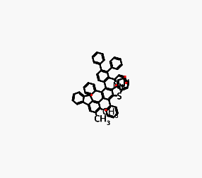 Cc1cc2c(c(-c3c(-c4ccccc4)c(-c4ccc(-c5ccccc5)c(-c5ccccc5)c4-c4ccnnn4)c4c(sc5ccccc54)c3-c3ccccc3)c1C)Cc1ccccc1-2